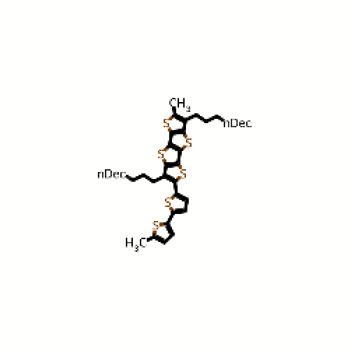 CCCCCCCCCCCCCc1c(C)sc2c1sc1c3sc(-c4ccc(-c5ccc(C)s5)s4)c(CCCCCCCCCCCCC)c3sc21